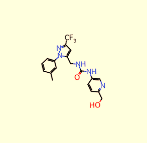 Cc1cccc(-n2nc(C(F)(F)F)cc2CNC(=O)Nc2ccc(CO)nc2)c1